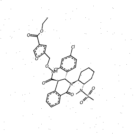 CCOC(=O)c1coc(CONC(=O)[C@@H]2c3ccccc3C(=O)N([C@H]3CCCC[C@@H]3N(C)S(C)(=O)=O)[C@H]2c2ccc(Cl)cc2Cl)c1